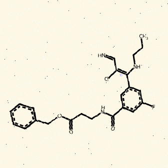 CCCN/C(=C(/Cl)C=N)c1cc(F)cc(C(=O)NCCC(=O)OCc2ccccc2)c1